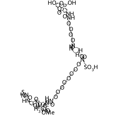 COc1ccc(NC(=O)c2cn3ccsc3n2)cc1C(=O)NCCCC(=O)N[C@@H](CCC(=O)N(C)OC)C(=O)NCCOCCOCCOCCOCCOCCOCCOCCOCCN(CCCS(=O)(=O)O)C(=O)OC[C@H]1[C@@H]2CCc3c(nnn3CCOCCOCCOCCOCCNC(=O)Nc3ccc4c(c3)C(=O)OC43c4ccc(O)cc4Oc4cc(O)ccc43)CC[C@@H]21